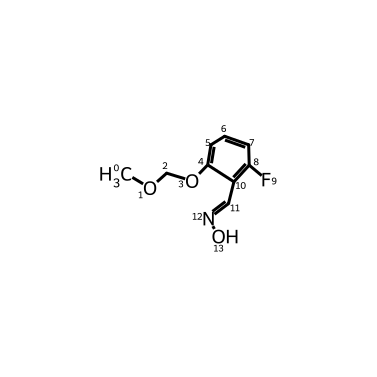 COCOc1cccc(F)c1C=NO